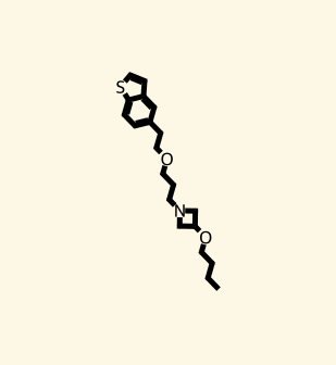 CCCCOC1CN(CCCOCCc2ccc3sccc3c2)C1